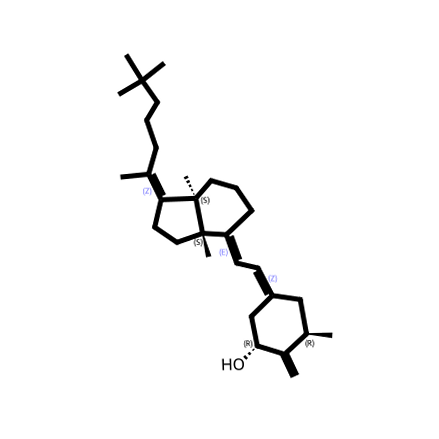 C=C1[C@H](C)C/C(=C/C=C2\CCC[C@]3(C)/C(=C(/C)CCCC(C)(C)C)CC[C@@]23C)C[C@H]1O